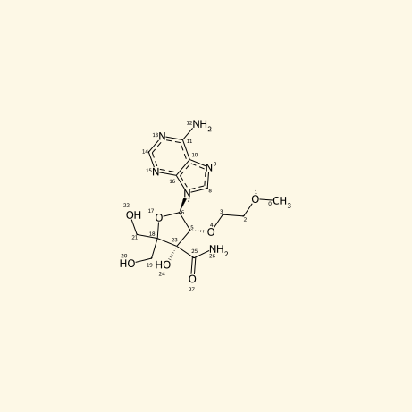 COCCO[C@H]1[C@H](n2cnc3c(N)ncnc32)OC(CO)(CO)[C@]1(O)C(N)=O